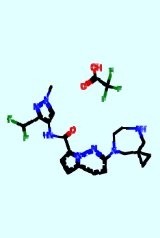 Cn1cc(NC(=O)c2ccc3ccc(N4CCNCC5(CC5)C4)nn23)c(C(F)F)n1.O=C(O)C(F)(F)F